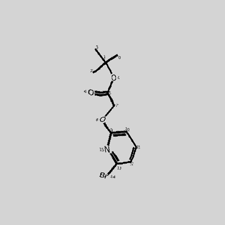 CC(C)(C)OC(=O)COc1cccc(Br)n1